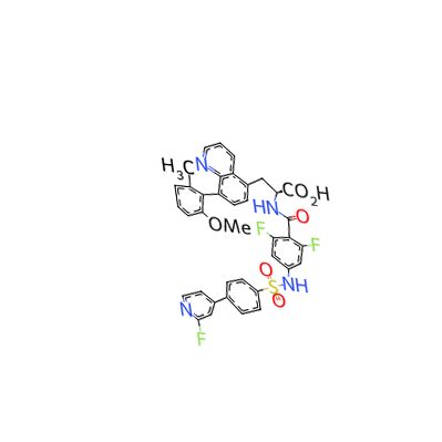 COc1cccc(C)c1-c1ccc(C[C@H](NC(=O)c2c(F)cc(NS(=O)(=O)c3ccc(-c4ccnc(F)c4)cc3)cc2F)C(=O)O)c2cccnc12